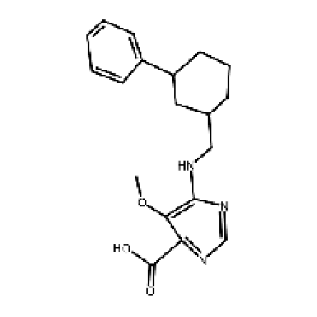 COc1c(NCC2CCCC(c3ccccc3)C2)ncnc1C(=O)O